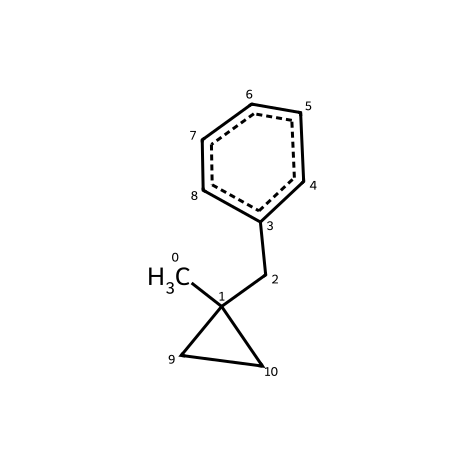 CC1(Cc2ccccc2)CC1